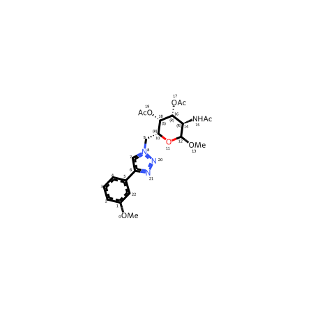 COc1cccc(-c2cn(C[C@H]3OC(OC)[C@H](NC(C)=O)[C@@H](OC(C)=O)[C@H]3OC(C)=O)nn2)c1